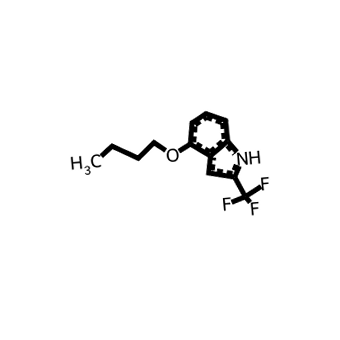 CCCCOc1cccc2[nH]c(C(F)(F)F)cc12